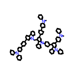 CN(c1ccccc1)c1ccc(-c2ccc(-c3cc(Cn4c5ccccc5c5ccc(-c6ccc(-c7ccc(N(c8ccccc8)c8ccccc8)cc7)cc6)cc54)c4c5ccccc5n(-c5ccc(-c6cc(-c7ccc(N(C)c8ccccc8)cc7)cc7c6c6ccccc6n7-c6ccccc6)cc5)c4c3)cc2)cc1